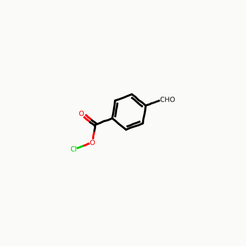 O=Cc1ccc(C(=O)OCl)cc1